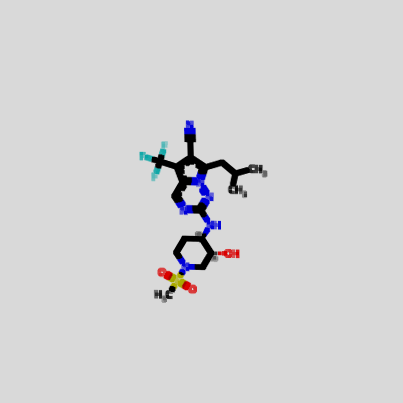 CC(C)Cc1c(C#N)c(C(F)(F)F)c2cnc(N[C@@H]3CCN(S(C)(=O)=O)C[C@H]3O)nn12